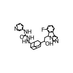 O=C(NNC1C2CC3CC1CC(C(O)CC1c4c(F)cccc4-c4cncn41)(C3)C2)Nc1cccnc1